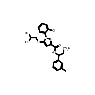 Cc1cccc(C(CC(=O)O)NC(=O)c2cc(OCC(O)C(C)(C)C)n(-c3ccccc3Cl)n2)c1